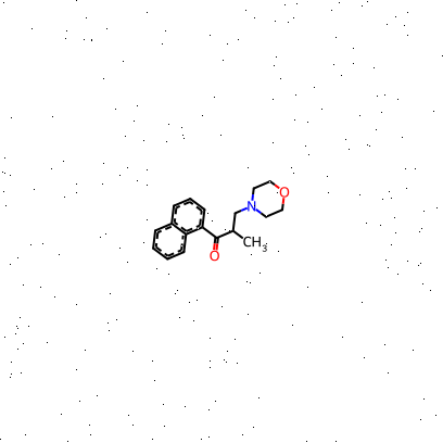 CC(CN1CCOCC1)C(=O)c1cccc2ccccc12